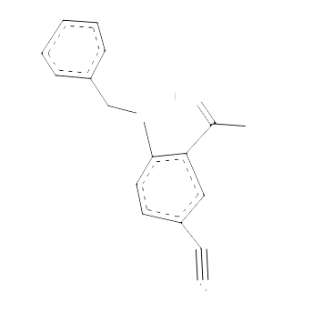 C=C(C)c1cc(C#N)ccc1SCc1ccccc1